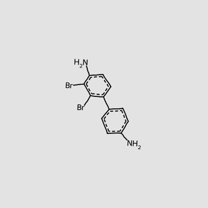 Nc1ccc(-c2ccc(N)c(Br)c2Br)cc1